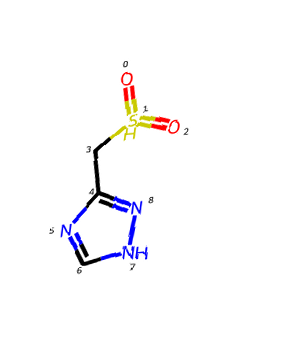 O=[SH](=O)Cc1nc[nH]n1